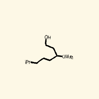 COC(CCO)CCCC(C)C